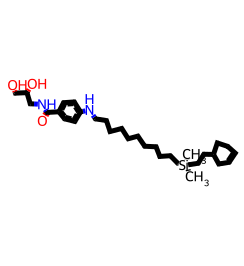 C[Si](C)(CCCCCCCCCCCNc1ccc(C(=O)NCC(O)CO)cc1)CCC1CC=CCC1